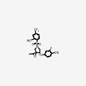 CC1OC12CN(S(=O)(=O)c1ccc(C(F)(F)F)cc1C#N)C[C@@H]2Oc1ccc(C#N)c(F)c1